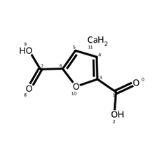 O=C(O)c1ccc(C(=O)O)o1.[CaH2]